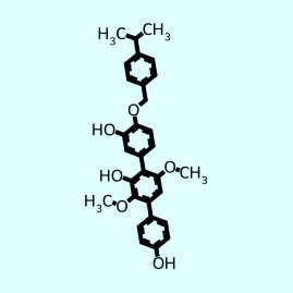 COc1cc(-c2ccc(O)cc2)c(OC)c(O)c1-c1ccc(OCc2ccc(C(C)C)cc2)c(O)c1